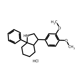 COc1ccc(C2CNC3(c4ccccc4)CCCCC23)cc1OC.Cl